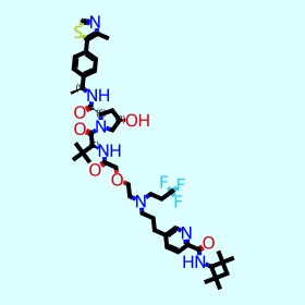 Cc1ncsc1-c1ccc([C@H](C)NC(=O)[C@@H]2C[C@@H](O)CN2C(=O)[C@@H](NC(=O)COCCN(CCCc2ccc(C(=O)NC3C(C)(C)CC3(C)C)nc2)CCC(F)(F)F)C(C)(C)C)cc1